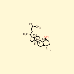 CC(C)[C@@H](C)CC[C@@H](C)[C@H]1CC[C@H]2[C@@H]3CCC4[C@H](C)CCC(O)[C@]4(C)[C@H]3CC[C@]12C